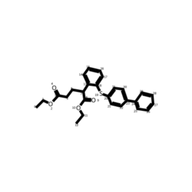 CCOC(=O)CCC(C(=O)OCC)c1ccccc1Sc1ccc(-c2ccccc2)cc1